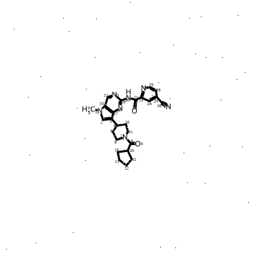 Cn1cc(C2CCN(C(=O)C3CCCC3)CC2)c2nc(NC(=O)c3cc(C#N)ccn3)ncc21